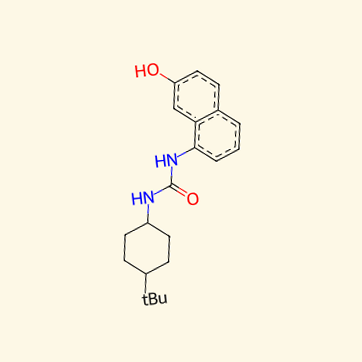 CC(C)(C)C1CCC(NC(=O)Nc2cccc3ccc(O)cc23)CC1